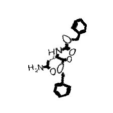 NC(=O)C[C@H](NC(=O)OCc1ccccc1)C(=O)OCc1ccccc1